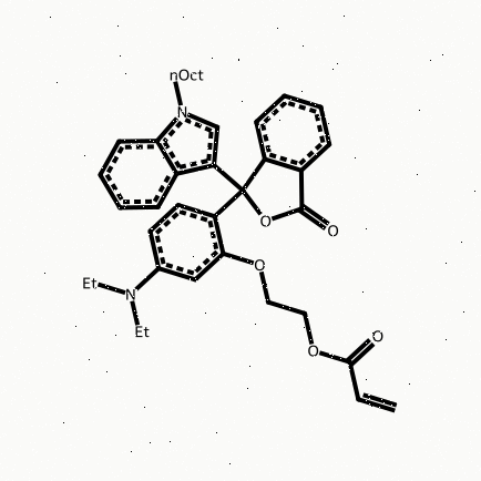 C=CC(=O)OCCOc1cc(N(CC)CC)ccc1C1(c2cn(CCCCCCCC)c3ccccc23)OC(=O)c2ccccc21